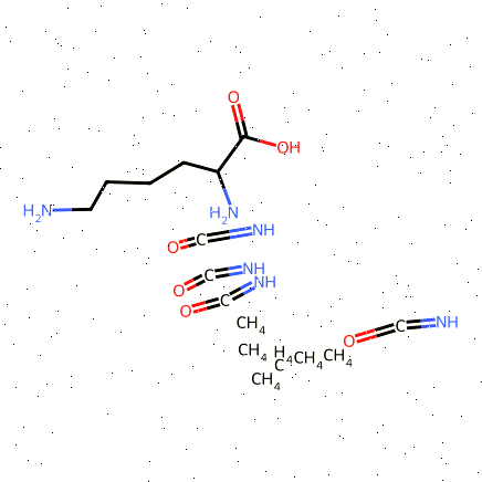 C.C.C.C.C.C.N=C=O.N=C=O.N=C=O.N=C=O.NCCCCC(N)C(=O)O